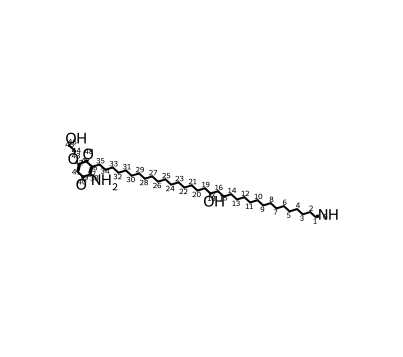 N=CCCCCCCCCCCCCCCCC(O)CCCCCCCCCCCCCCCCCC1=C(N)C(=O)C=C(OCCO)C1=O